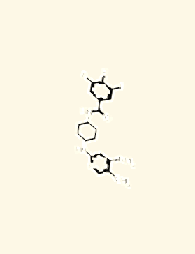 Cc1cnc(N[C@H]2CC[C@@H](NC(=O)c3cc(F)c(F)c(F)c3)CC2)cc1N